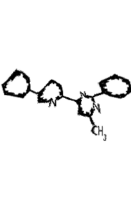 Cc1cc(-c2ccc(-c3ccccc3)cn2)nc(-c2ccccc2)n1